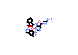 Cc1cc2cnn(C(C)C)c2cc1Nc1ncc(C(=O)NCCN)c(N[C@H]2c3ccccc3C[C@H]2O)n1